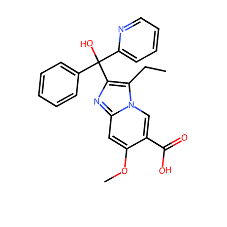 CCc1c(C(O)(c2ccccc2)c2ccccn2)nc2cc(OC)c(C(=O)O)cn12